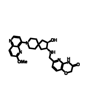 COc1ccc2nccc(N3CCC4(CC3)C[C@@H](O)[C@@H](NCc3ccc5c(n3)NC(=O)CO5)C4)c2n1